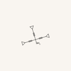 [SiH3]C(C#CC1CC1)(C#CC1CC1)C#CC1CC1